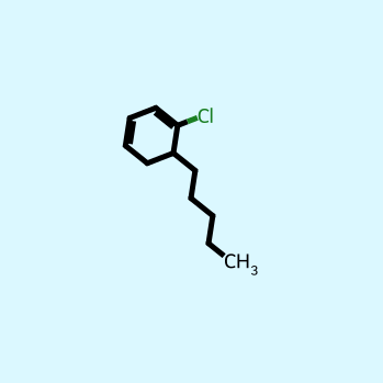 CCCCCC1CC=CC=C1Cl